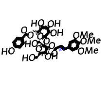 COc1cc(/C=C/C(=O)O[C@H]2[C@H](O)[C@@H](CO)O[C@@]2(CO)O[C@H]2O[C@H](COC(=O)c3ccc(O)cc3)[C@@H](O)[C@H](O)[C@H]2O)cc(OC)c1OC